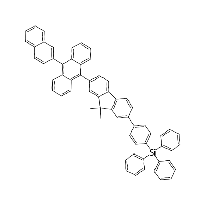 CC1(C)c2cc(-c3ccc([Si](c4ccccc4)(c4ccccc4)c4ccccc4)cc3)ccc2-c2ccc(-c3c4ccccc4c(-c4ccc5ccccc5c4)c4ccccc34)cc21